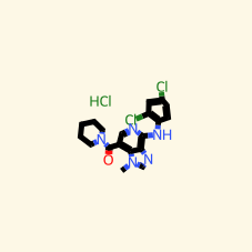 Cl.Cn1cnc2c(Nc3ccc(Cl)cc3Cl)ncc(C(=O)N3CCCCC3)c21